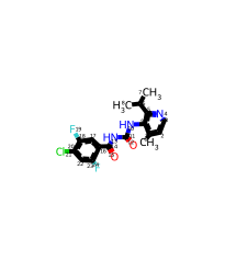 Cc1ccnc(C(C)C)c1NC(=O)NC(=O)c1cc(F)c(Cl)cc1F